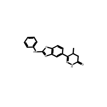 CC1CC(=O)NN=C1c1ccc2oc(Nc3ccccc3)nc2c1